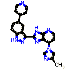 Cc1cn(-c2ccnc3[nH]c(-c4n[nH]c5ccc(-c6ccncc6)cc45)nc23)cn1